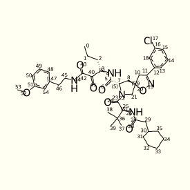 CCC[C@H](NC(=O)[C@@H]1C[C@]2(CC(c3cccc(Cl)c3)=NO2)CN1C(=O)[C@@H](NC(=O)CC1CCCCC1)C(C)(C)C)C(=O)C(=O)NCCc1cccc(OC)c1